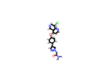 CN(C)C(=O)Cn1cc(-c2ccc(Oc3ccnc4c(Cl)cncc34)cc2)cn1